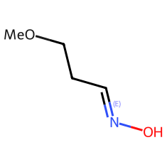 COCC/C=N/O